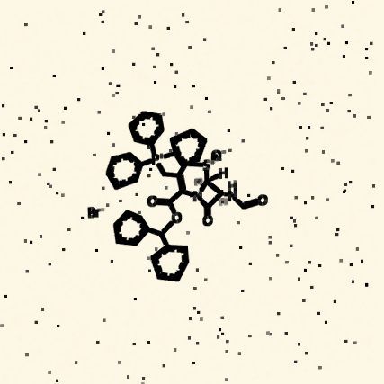 O=CN[C@@H]1C(=O)N2C(C(=O)OC(c3ccccc3)c3ccccc3)=C(C[P+](c3ccccc3)(c3ccccc3)c3ccccc3)C[S+]([O-])[C@H]12.[Br-]